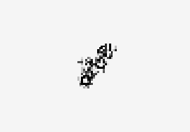 CC(C)(C)OC(=O)N1CCCC(C(O)c2nc3ccccc3s2)C1